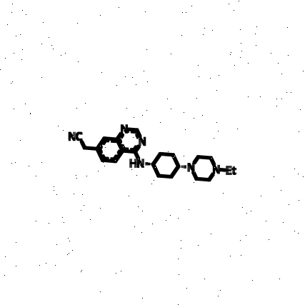 CCN1CCN([C@H]2CC[C@@H](Nc3ncnc4cc(CC#N)ccc34)CC2)CC1